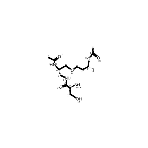 CC(=O)N[C@@H](CNC(=O)[C@@H](N)CO)COCC[C@@H](C)OC(C)=O